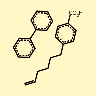 C=CCCCCc1ccc(C(=O)O)cc1.c1ccc(-c2ccccc2)cc1